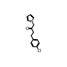 O=C(CCc1ccc(Cl)cc1)Cn1cccc1